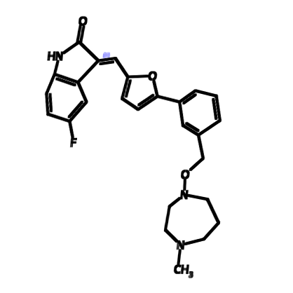 CN1CCCN(OCc2cccc(-c3ccc(/C=C4/C(=O)Nc5ccc(F)cc54)o3)c2)CC1